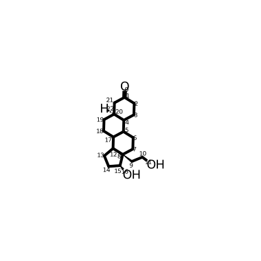 O=C1CCC2C3CC[C@@]4(CCO)C(CC[C@@H]4O)C3CC[C@H]2C1